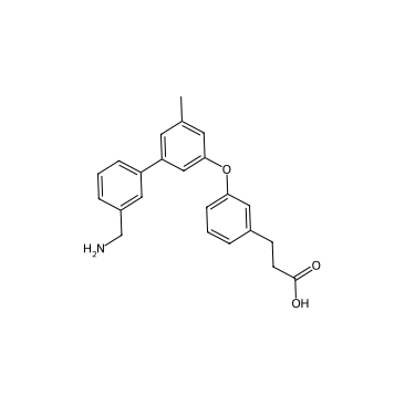 Cc1cc(Oc2cccc(CCC(=O)O)c2)cc(-c2cccc(CN)c2)c1